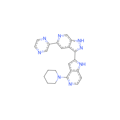 c1cnc(-c2cc3c(-c4cc5c(N6CCCCC6)nccc5[nH]4)n[nH]c3cn2)cn1